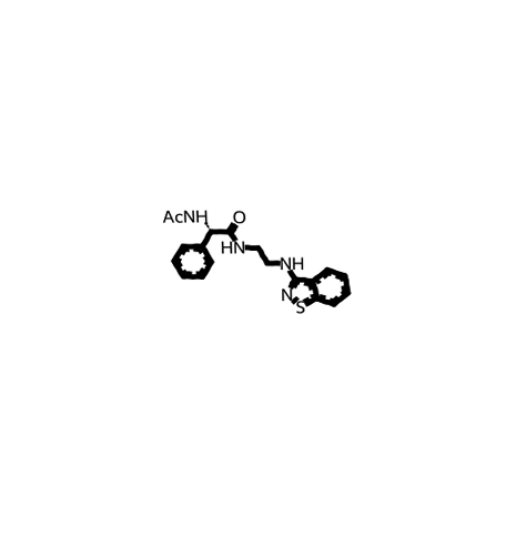 CC(=O)N[C@H](C(=O)NCCNc1nsc2ccccc12)c1ccccc1